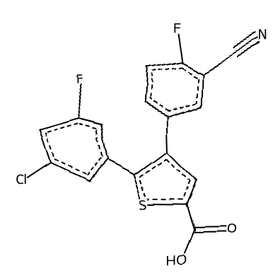 N#Cc1cc(-c2cc(C(=O)O)sc2-c2cc(F)cc(Cl)c2)ccc1F